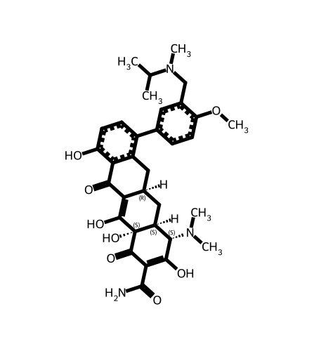 COc1ccc(-c2ccc(O)c3c2C[C@H]2C[C@H]4[C@H](N(C)C)C(O)=C(C(N)=O)C(=O)[C@@]4(O)C(O)=C2C3=O)cc1CN(C)C(C)C